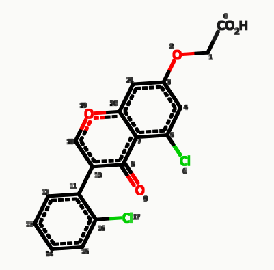 O=C(O)COc1cc(Cl)c2c(=O)c(-c3ccccc3Cl)coc2c1